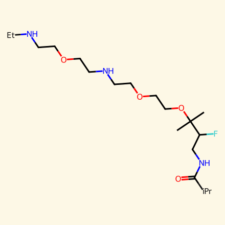 CCNCCOCCNCCOCCOC(C)(C)C(F)CNC(=O)C(C)C